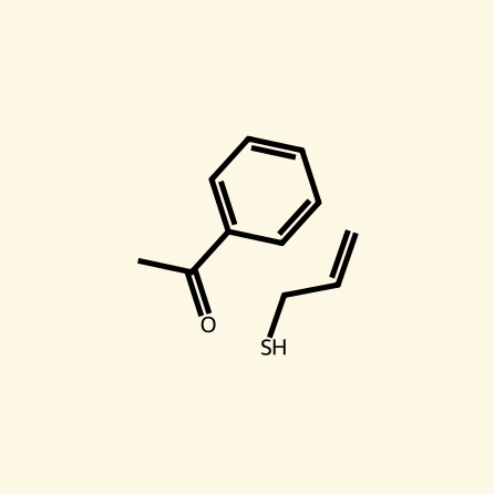 C=CCS.CC(=O)c1ccccc1